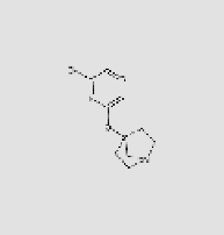 Clc1cncc(OC23CCN(CC2)C3)n1